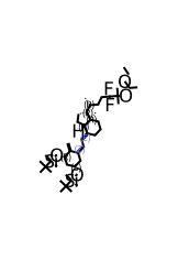 C=C1/C(=C\C=C2/CCC[C@]3(C)[C@@H]([C@H](C)CCC(F)(F)C(C)(C)OC(C)OCC)CC[C@@H]23)C[C@H](O[Si](C)(C)C(C)(C)C)C[C@H]1O[Si](C)(C)C(C)(C)C